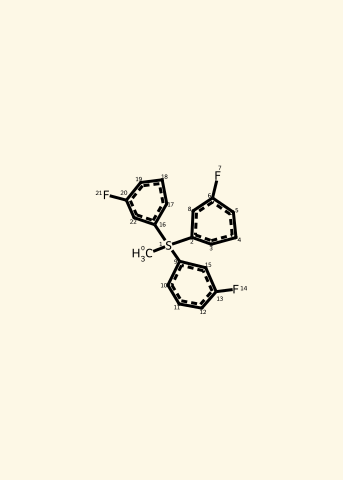 CS(c1cccc(F)c1)(c1cccc(F)c1)c1cccc(F)c1